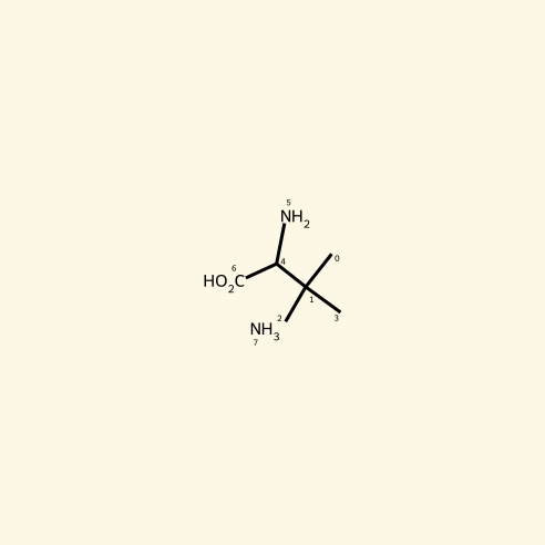 CC(C)(C)C(N)C(=O)O.N